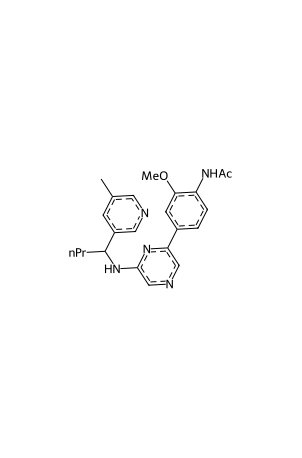 CCCC(Nc1cncc(-c2ccc(NC(C)=O)c(OC)c2)n1)c1cncc(C)c1